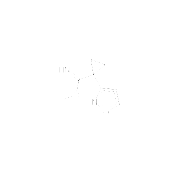 CCOC(=N)C1(c2ccon2)CC1